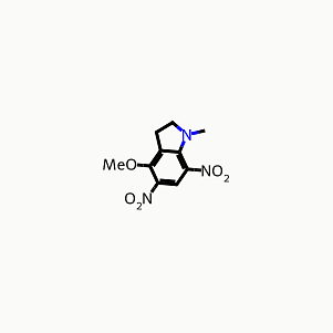 COc1c([N+](=O)[O-])cc([N+](=O)[O-])c2c1CCN2C